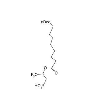 CCCCCCCCCCCCCCCCCC(=O)OC(CS(=O)(=O)O)C(F)(F)F